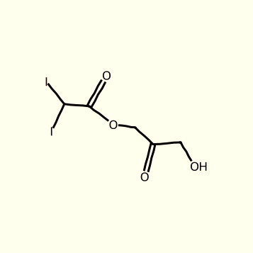 O=C(CO)COC(=O)C(I)I